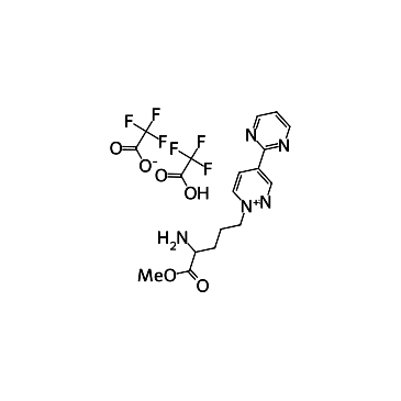 COC(=O)C(N)CCC[n+]1ccc(-c2ncccn2)cn1.O=C(O)C(F)(F)F.O=C([O-])C(F)(F)F